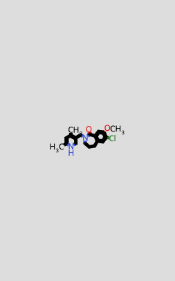 COc1cc2c(cc1Cl)CCCN(CC1=C(C)C=C(C)NC1)C2=O